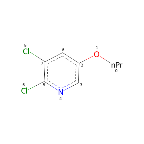 CCCOc1cnc(Cl)c(Cl)c1